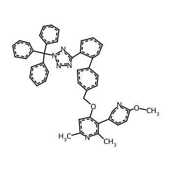 COc1ccc(-c2c(OCc3ccc(-c4ccccc4-c4nnn(C(c5ccccc5)(c5ccccc5)c5ccccc5)n4)cc3)cc(C)nc2C)cn1